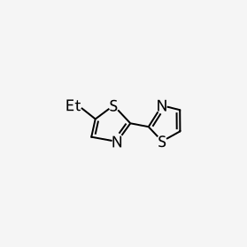 CCc1cnc(-c2nccs2)s1